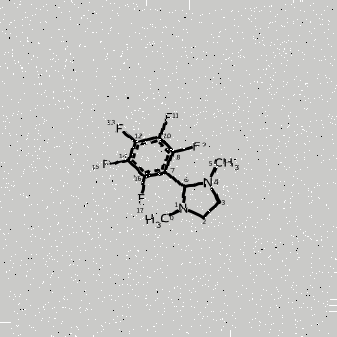 CN1CCN(C)C1c1c(F)c(F)c(F)c(F)c1F